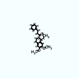 CC[C@H]1c2cc(OC)c(OC)cc2CCN1C(=O)CCc1ccccc1